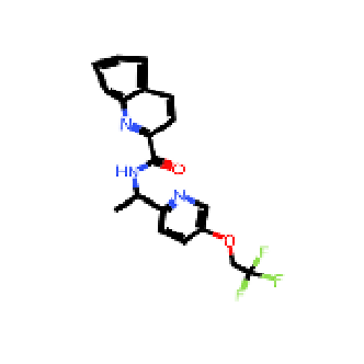 CC(NC(=O)c1ccc2ccccc2n1)c1ccc(OCC(F)(F)F)cn1